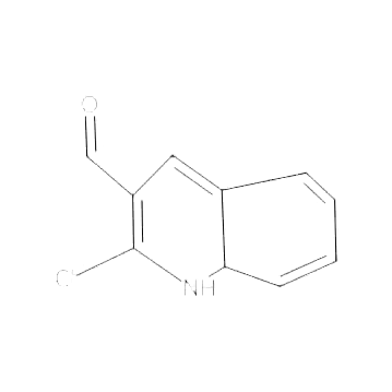 O=CC1=C(Cl)NC2C=CC=CC2=C1